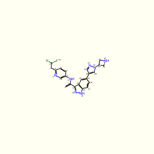 C=C(Nc1ccc(CC(F)F)nc1)c1n[nH]c2ccc(-c3cnn(C4CNC4)c3)cc12